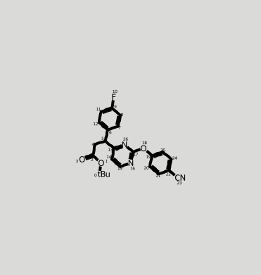 CC(C)(C)OC(=O)CC(c1ccc(F)cc1)c1ccnc(Oc2ccc(C#N)cc2)n1